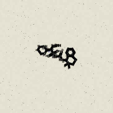 CC1(C)CCc2ccccc2C1NC(=O)NS(=O)(=O)/C(C=N)=C1/NCCCO1